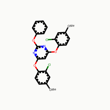 COc1ccc(Oc2cc(Oc3ccc(OC)cc3Cl)nc(Oc3ccccc3)n2)c(Cl)c1